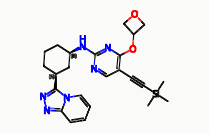 C[Si](C)(C)C#Cc1cnc(N[C@@H]2CCC[C@H](c3nnc4ccccn34)C2)nc1OC1COC1